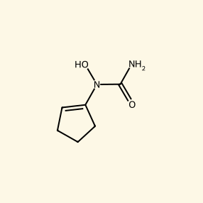 NC(=O)N(O)C1=CCCC1